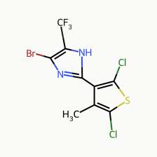 Cc1c(Cl)sc(Cl)c1-c1nc(Br)c(C(F)(F)F)[nH]1